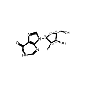 O=C1CNC=Nc2c1ncn2[C@@H]1O[C@H](CO)[C@@H](O)[C@H]1F